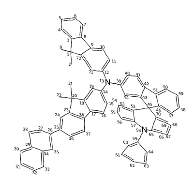 CC1(C)c2ccccc2-c2ccc(N(c3ccc4c(c3)C(C)(C)c3cc(-c5ccc6ccccc6c5)ccc3-4)c3ccc4c(c3)C3(c5ccccc5-4)c4ccccc4N(c4ccccc4)c4ccccc43)cc21